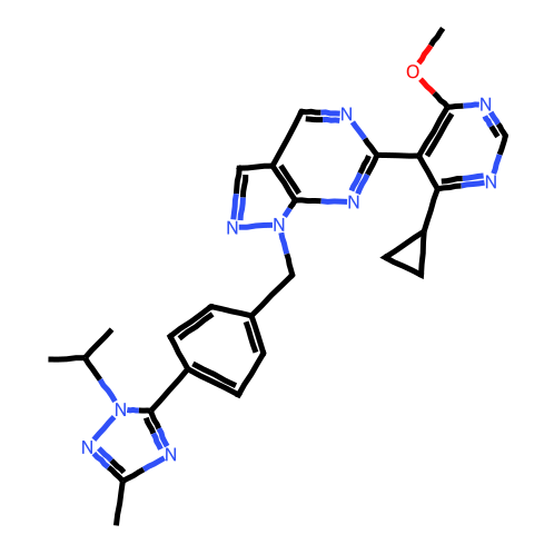 COc1ncnc(C2CC2)c1-c1ncc2cnn(Cc3ccc(-c4nc(C)nn4C(C)C)cc3)c2n1